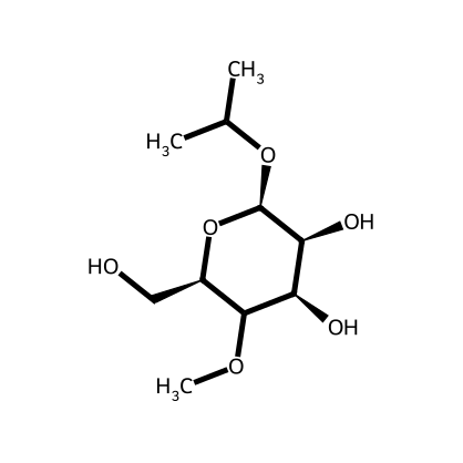 COC1[C@@H](CO)O[C@@H](OC(C)C)[C@@H](O)[C@H]1O